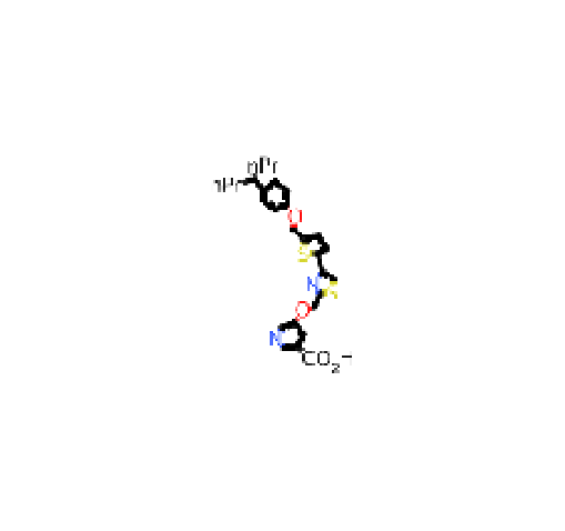 CCCC(CCC)c1ccc(OCc2ccc(-c3csc(COc4cncc(C(=O)O)c4)n3)s2)cc1